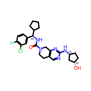 O=C(N[C@@H](c1ccc(F)c(Cl)c1)C1CCCC1)N1CCc2cnc(N[C@H]3CC[C@H](O)C3)nc2C1